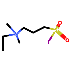 CC[N+](C)(C)CCCS(=O)(=O)I